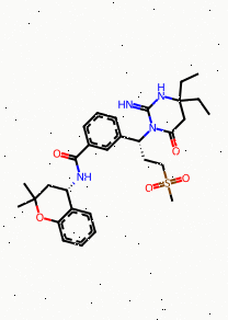 CCC1(CC)CC(=O)N([C@H](CCS(C)(=O)=O)c2cccc(C(=O)N[C@H]3CC(C)(C)Oc4ccccc43)c2)C(=N)N1